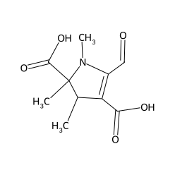 CC1C(C(=O)O)=C(C=O)N(C)C1(C)C(=O)O